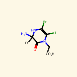 CCC1(N)NC(Br)=C(Cl)N(CC(=O)O)C1=O